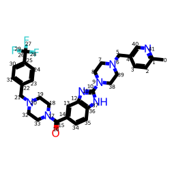 Cc1ccc(CN2CCN(c3nc4cc(C(=O)N5CCN(Cc6ccc(C(F)(F)F)cc6)CC5)ccc4[nH]3)CC2)cn1